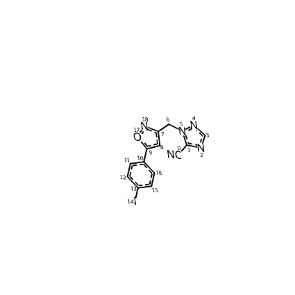 N#Cc1ncnn1Cc1cc(-c2ccc(I)cc2)on1